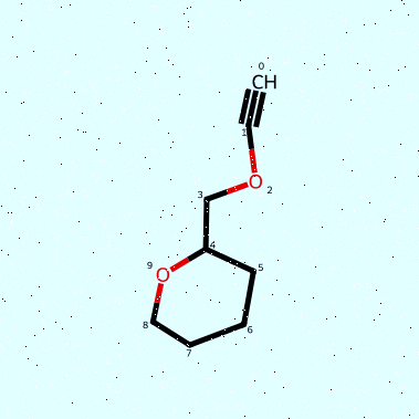 C#COCC1CCCCO1